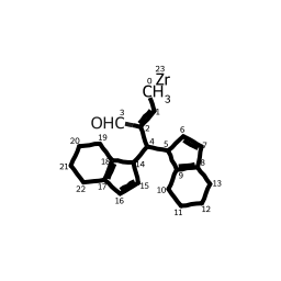 CC=C(C=O)C(C1C=CC2=C1CCCC2)C1C=CC2=C1CCCC2.[Zr]